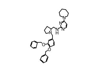 c1ccc(COc2ccc(CN3CCCC3CNc3nccc(N4CCCCCC4)n3)cc2OCc2ccccc2)cc1